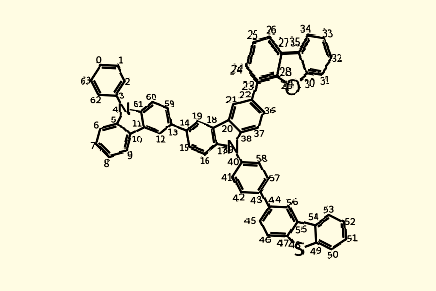 c1ccc(-n2c3ccccc3c3cc(-c4ccc5c(c4)c4cc(-c6cccc7c6oc6ccccc67)ccc4n5-c4ccc(-c5ccc6sc7ccccc7c6c5)cc4)ccc32)cc1